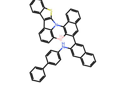 B1c2c(-c3cc4ccccc4cc3Nc3ccc(-c4ccccc4)cc3)cc3ccccc3c2-n2c3sc4ccccc4c3c3cccc1c32